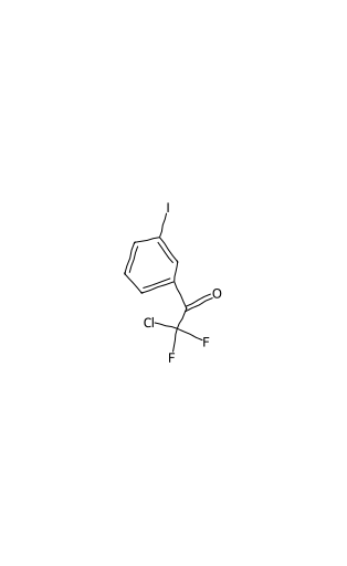 O=C(c1cccc(I)c1)C(F)(F)Cl